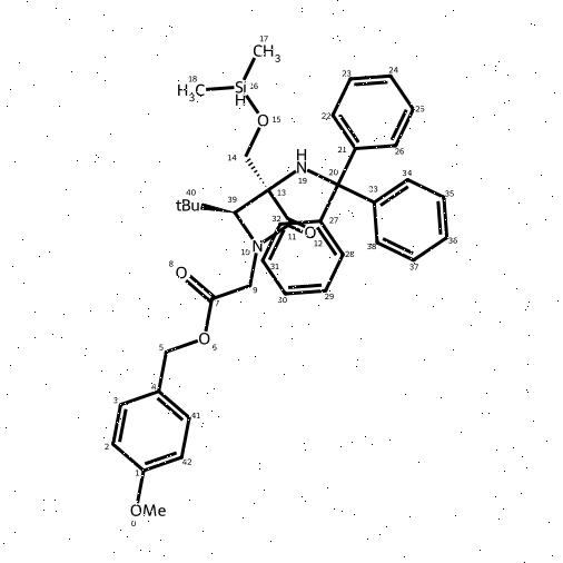 COc1ccc(COC(=O)CN2C(=O)[C@](CO[SiH](C)C)(NC(c3ccccc3)(c3ccccc3)c3ccccc3)[C@@H]2C(C)(C)C)cc1